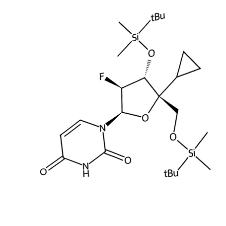 CC(C)(C)[Si](C)(C)OC[C@@]1(C2CC2)O[C@@H](n2ccc(=O)[nH]c2=O)[C@@H](F)[C@@H]1O[Si](C)(C)C(C)(C)C